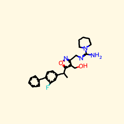 CC(c1ccc(-c2ccccc2)c(F)c1)c1onc(CN=C(N)N2CCCCC2)c1CO